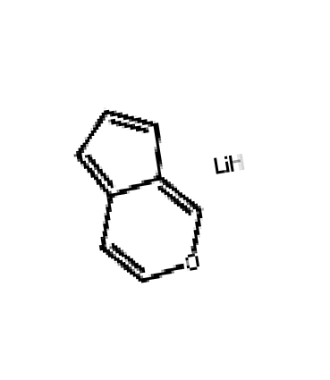 [LiH].c1cc2ccocc-2c1